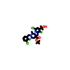 CC1CC(Cc2nc(Cl)cc(C(C)(C)O)c2F)(C(=O)OC(C)(C)C)CCN1Cc1cccc(Cl)c1F